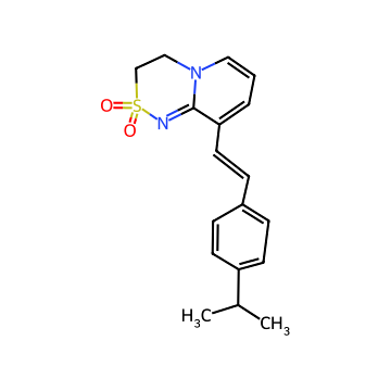 CC(C)c1ccc(/C=C/C2=CC=CN3CCS(=O)(=O)N=C23)cc1